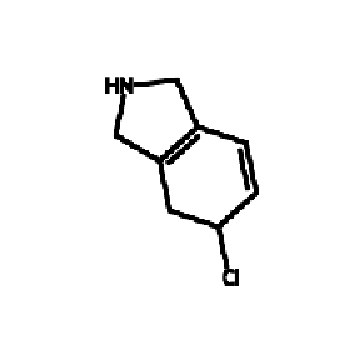 ClC1C=CC2=C(CNC2)C1